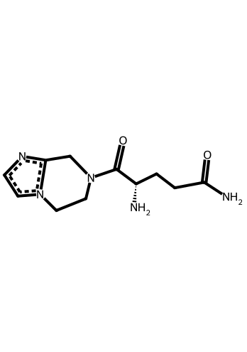 NC(=O)CC[C@H](N)C(=O)N1CCn2ccnc2C1